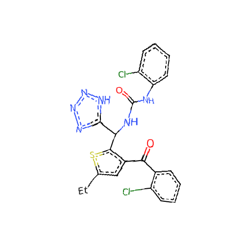 CCc1cc(C(=O)c2ccccc2Cl)c(C(NC(=O)Nc2ccccc2Cl)c2nnn[nH]2)s1